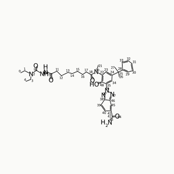 CCN(CC)C(=O)NNC(=O)CCCCCCCC(=O)N(C)c1cc(C(C)(C)c2ccccc2)cc(-n2nc3ccc(C(N)=O)cc3n2)c1O